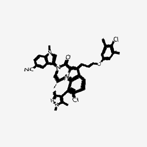 Cc1cc(OCCCc2c3n(c4c(-c5c(C)nn(C)c5C)c(Cl)ccc24)[C@H](C)CN(c2cn(C)c4ccc(C#N)cc24)C3=O)cc(C)c1Cl